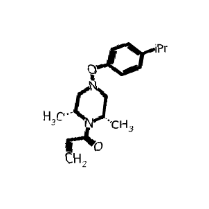 C=CC(=O)N1[C@H](C)CN(Oc2ccc(C(C)C)cc2)C[C@@H]1C